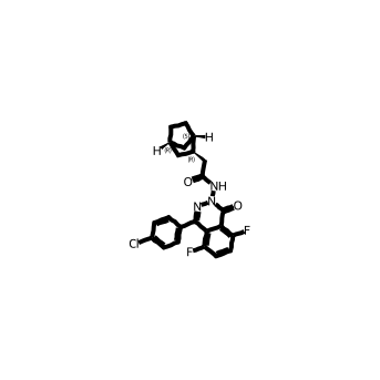 O=C(C[C@H]1C[C@@H]2CC[C@H]1C2)Nn1nc(-c2ccc(Cl)cc2)c2c(F)ccc(F)c2c1=O